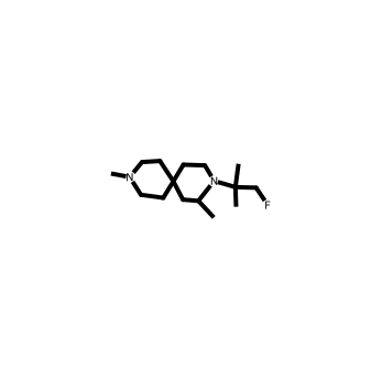 CC1CC2(CCN(C)CC2)CCN1C(C)(C)CF